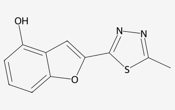 Cc1nnc(-c2cc3c(O)cccc3o2)s1